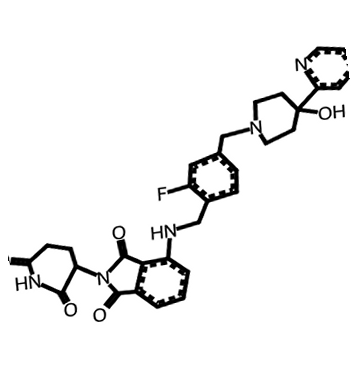 O=C1CCC(N2C(=O)c3cccc(NCc4ccc(CN5CCC(O)(c6ccccn6)CC5)cc4F)c3C2=O)C(=O)N1